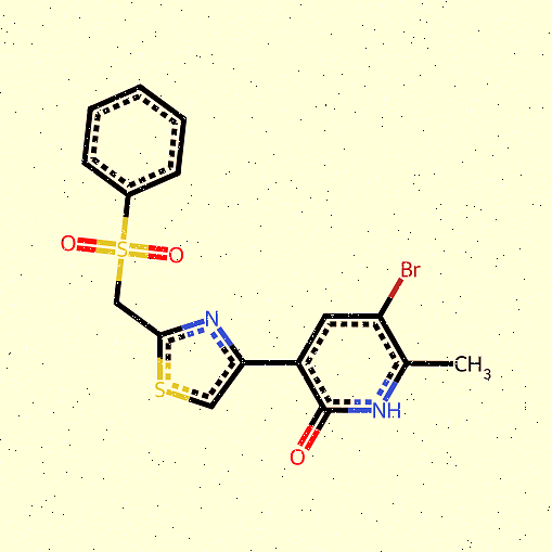 Cc1[nH]c(=O)c(-c2csc(CS(=O)(=O)c3ccccc3)n2)cc1Br